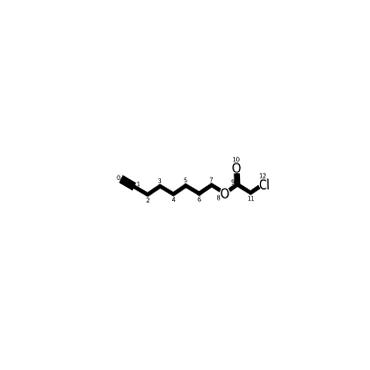 C#CCCCCCCOC(=O)CCl